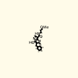 COCCCNC(=O)c1cnn2c(O)c(Cc3ccccc3)c(C)nc12